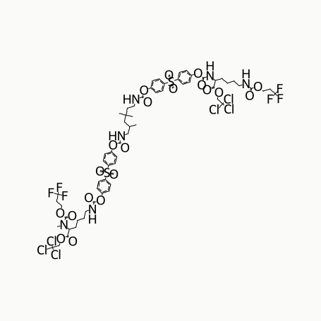 CC(CNC(=O)Oc1ccc(S(=O)(=O)c2ccc(OC(=O)NCCCCC(C(=O)OCC(Cl)(Cl)Cl)N(C)C(=O)OCCC(F)(F)F)cc2)cc1)CC(C)(C)CCNC(=O)Oc1ccc(S(=O)(=O)c2ccc(OC(=O)NC(CCCCNC(=O)OCCC(F)(F)F)C(=O)OCC(Cl)(Cl)Cl)cc2)cc1